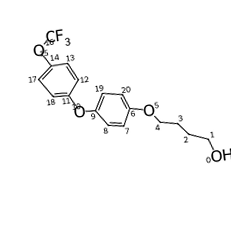 OCCCCOc1ccc(Oc2ccc(OC(F)(F)F)cc2)cc1